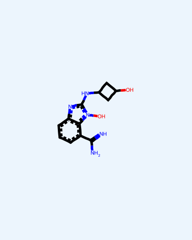 N=C(N)c1cccc2nc(NC3CC(O)C3)n(O)c12